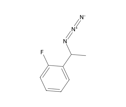 CC(N=[N+]=[N-])c1ccccc1F